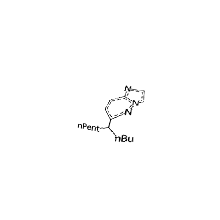 CCCCCC(CCCC)c1ccc2nccn2n1